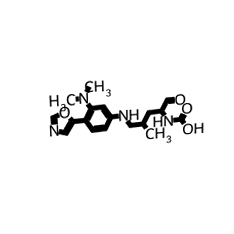 CC(CNc1ccc(-c2cnco2)c(N(C)C)c1)CC(C=O)NC(=O)O